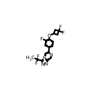 CC(F)(F)c1nnc2cnc(-c3ccc(OC4CC(F)(F)C4)c(F)c3)cn12